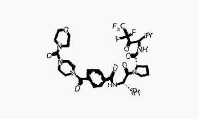 CC(C)C(NC(=O)[C@@H]1CCCN1C(=O)[C@@H](NC(=O)c1ccc(C(=O)N2CCN(C(=O)N3CCOCC3)CC2)cc1)C(C)C)C(=O)C(F)(F)C(F)(F)F